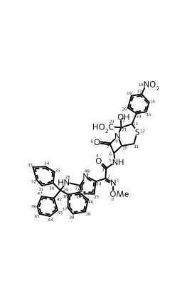 CON=C(C(=O)NC1C(=O)N2C1CSC(c1ccc([N+](=O)[O-])cc1)C2(O)C(=O)O)c1csc(NC(c2ccccc2)(c2ccccc2)c2ccccc2)n1